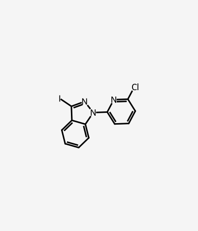 Clc1cccc(-n2nc(I)c3ccccc32)n1